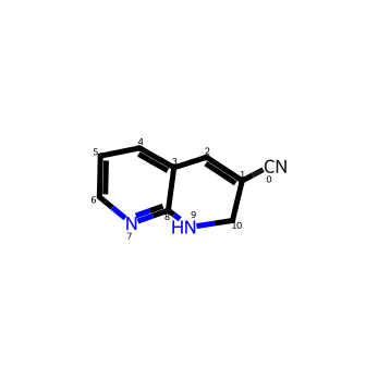 N#CC1=Cc2cccnc2NC1